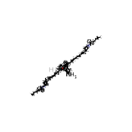 CCCCCCOC(=O)/C=C/c1ccc(OCCCCCCCCCCCOC(=O)C(Cc2ccc(N)cc2)(Cc2ccc(N)cc2)C(=O)OCCCCCCCCCCCOc2ccc(/C=C/C(=O)OCCCCCC)cc2)cc1